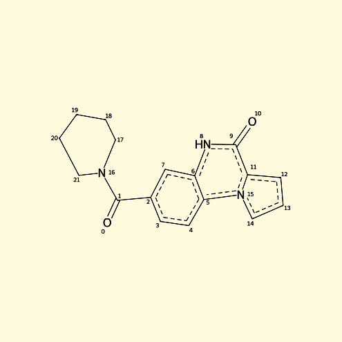 O=C(c1ccc2c(c1)[nH]c(=O)c1cccn12)N1CCCCC1